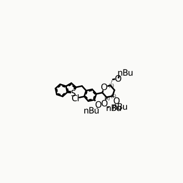 CCCCOC[C@@H]1C[C@H](OCCCC)[C@@H](OCCCC)C(c2cc(Cc3cc4ccccc4s3)c(Cl)cc2OCCCC)O1